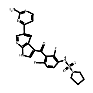 Nc1nccc(-c2cnc3[nH]cc(C(=O)c4c(F)ccc(NS(=O)(=O)N5CCCC5)c4F)c3c2)n1